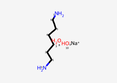 NCCCCCCN.O.[Na+].[OH-]